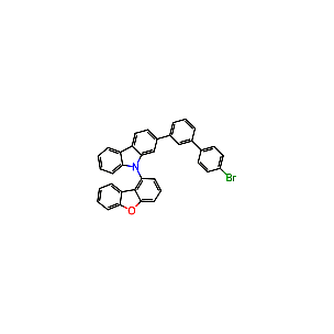 Brc1ccc(-c2cccc(-c3ccc4c5ccccc5n(-c5cccc6oc7ccccc7c56)c4c3)c2)cc1